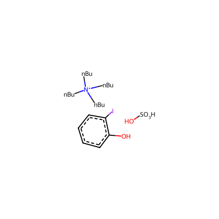 CCCC[N+](CCCC)(CCCC)CCCC.O=S(=O)(O)O.Oc1ccccc1I